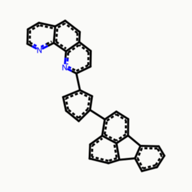 c1cc(-c2ccc3ccc4cccnc4c3n2)cc(-c2ccc3c4c(cccc24)-c2ccccc2-3)c1